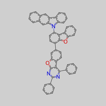 c1ccc(-c2nc(-c3ccccc3)c3c(n2)oc2cc(-c4ccc(-n5c6ccccc6c6cc7ccccc7cc65)c5c4oc4ccccc45)ccc23)cc1